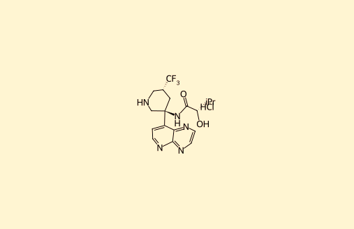 CC(C)[C@H](O)C(=O)N[C@@]1(c2ccnc3nccnc23)CNC[C@H](C(F)(F)F)C1.Cl